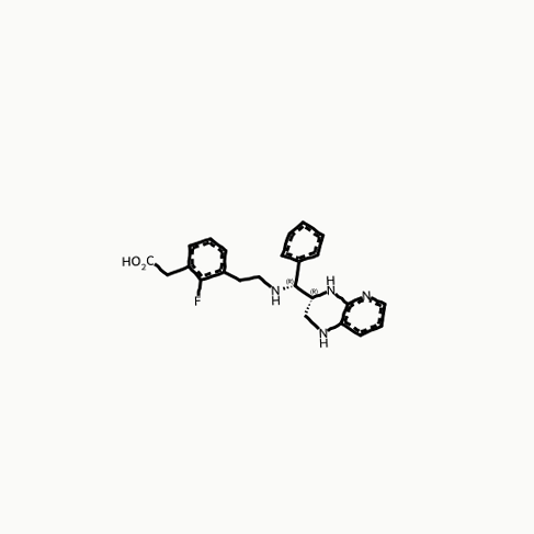 O=C(O)Cc1cccc(CCN[C@H](c2ccccc2)[C@H]2CNc3cccnc3N2)c1F